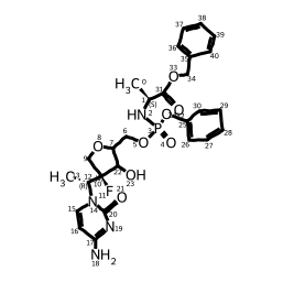 C[C@H](NP(=O)(OCC1OC[C@@](F)([C@@H](C)n2ccc(N)nc2=O)C1O)Oc1ccccc1)C(=O)OCc1ccccc1